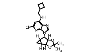 CC1(C)O[C@@H]2[C@@H]3C[C@@H]3[C@@H](n3cnc4c(NCC5CCC5)cc(Cl)nc43)[C@@H]2O1